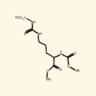 CCOC(=O)NC(=S)NCCCC(NC(=O)OC(C)(C)C)C(=O)OC(C)(C)C